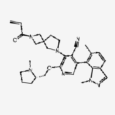 C=CC(=O)N1CC2(CCN(c3c(OC[C@@H]4CCCN4C)ncc(-c4c(C)ccc5cnn(C)c45)c3C#N)C2)C1